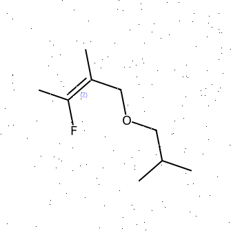 C/C(F)=C(\C)COCC(C)C